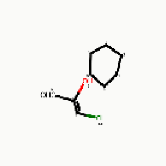 C1CCCCC1.O=CC(O)=CCl